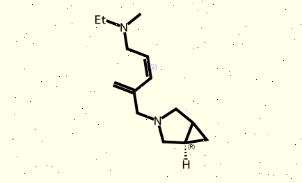 C=C(/C=C\CN(C)CC)CN1CC2C[C@H]2C1